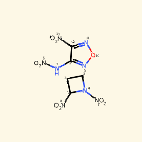 O=[N+]([O-])C1CCN1[N+](=O)[O-].O=[N+]([O-])Nc1nonc1[N+](=O)[O-]